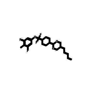 CCCCCC1COC(C2CCC(C(F)(F)Oc3cc(F)c(C)c(F)c3)CC2)OC1